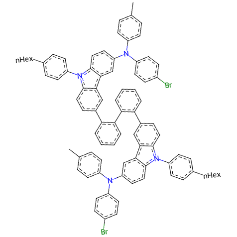 CCCCCCc1ccc(-n2c3ccc(-c4ccccc4-c4ccccc4-c4ccc5c(c4)c4cc(N(c6ccc(C)cc6)c6ccc(Br)cc6)ccc4n5-c4ccc(CCCCCC)cc4)cc3c3cc(N(c4ccc(C)cc4)c4ccc(Br)cc4)ccc32)cc1